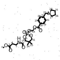 COC(=O)CCNC(=O)[C@@H]1OP(=O)(OCOC(=O)c2ccc(CN3CCCC3)cc2)OCC1(C)C